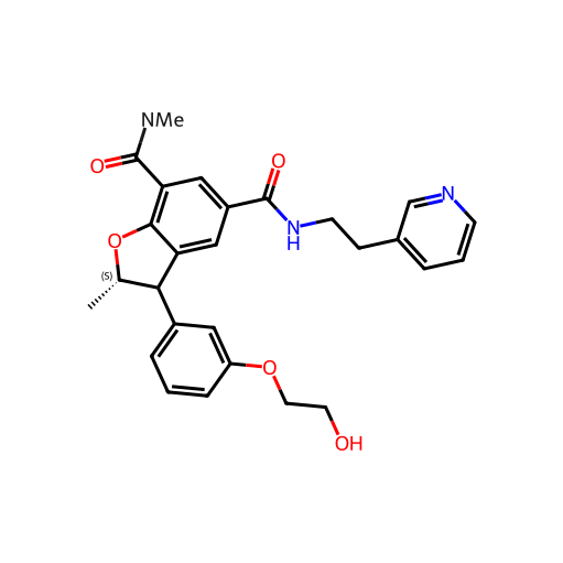 CNC(=O)c1cc(C(=O)NCCc2cccnc2)cc2c1O[C@@H](C)C2c1cccc(OCCO)c1